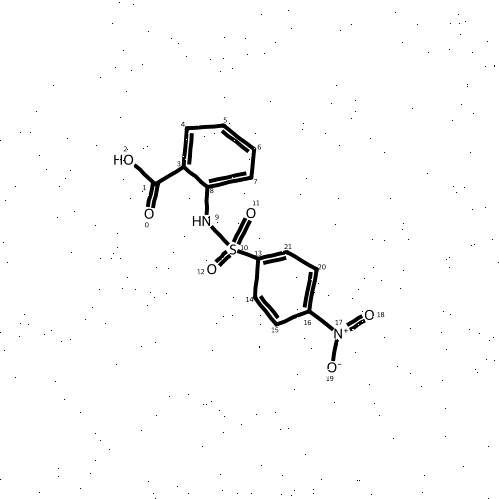 O=C(O)c1ccccc1NS(=O)(=O)c1ccc([N+](=O)[O-])cc1